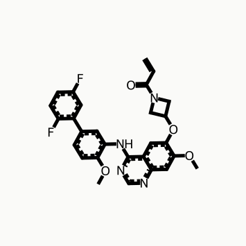 C=CC(=O)N1CC(Oc2cc3c(Nc4cc(-c5cc(F)ccc5F)ccc4OC)ncnc3cc2OC)C1